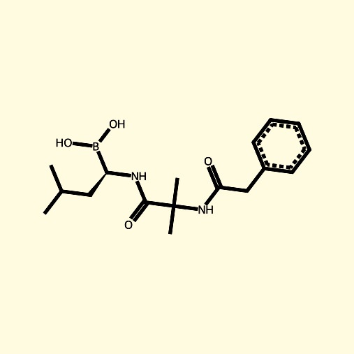 CC(C)C[C@H](NC(=O)C(C)(C)NC(=O)Cc1ccccc1)B(O)O